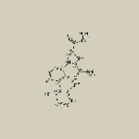 COC(=O)c1cn(-c2cccc(-c3c(F)ccnc3F)c2)c(C(N)=O)n1